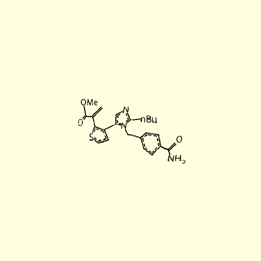 C=C(C(=O)OC)c1sccc1-c1cnc(CCCC)n1Cc1ccc(C(N)=O)cc1